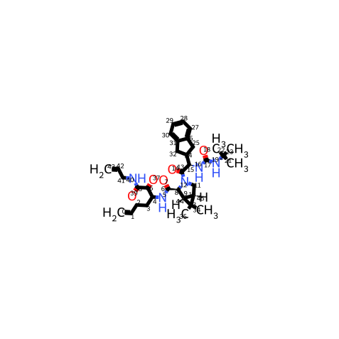 C=CCCC(NC(=O)[C@@H]1[C@H]2[C@@H](CN1C(=O)[C@@H](NC(=O)NC(C)(C)C)C1Cc3ccccc3C1)C2(C)C)C(=O)C(=O)NCC=C